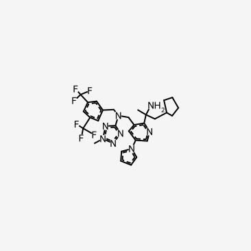 Cn1nnc(N(Cc2cc(C(F)(F)F)cc(C(F)(F)F)c2)Cc2cc(-n3cccc3)cnc2C(C)(N)CC2CCCC2)n1